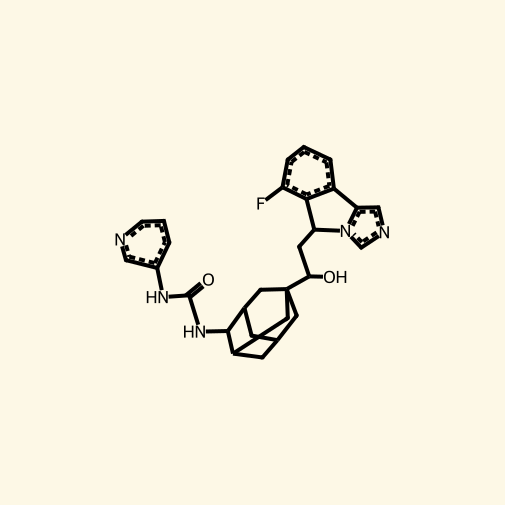 O=C(Nc1cccnc1)NC1C2CC3CC1CC(C(O)CC1c4c(F)cccc4-c4cncn41)(C3)C2